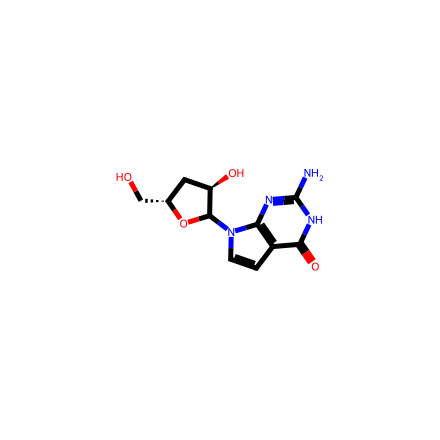 Nc1nc2c(ccn2C2O[C@H](CO)C[C@H]2O)c(=O)[nH]1